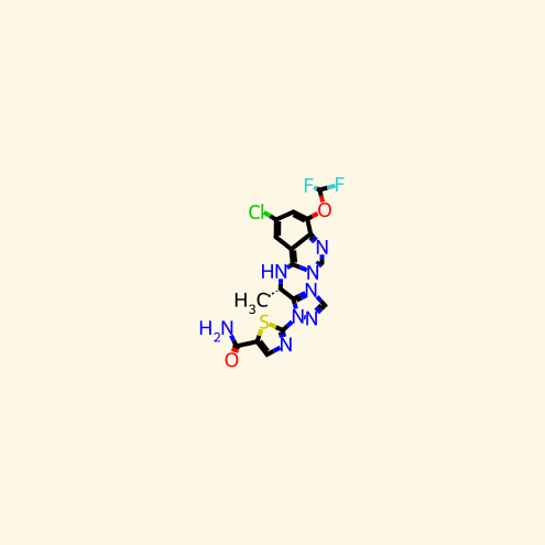 C[C@H](Nc1ncnc2c(OC(F)F)cc(Cl)cc12)c1ncnn1-c1ncc(C(N)=O)s1